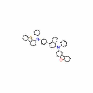 c1ccc(N(c2ccc3oc4ccccc4c3c2)c2ccc(-c3ccc(N(c4ccccc4)c4cccc5c4sc4ccccc45)cc3)c3ccccc23)cc1